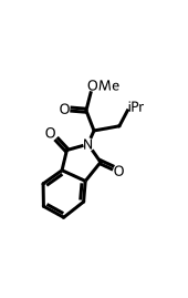 COC(=O)C(CC(C)C)N1C(=O)c2ccccc2C1=O